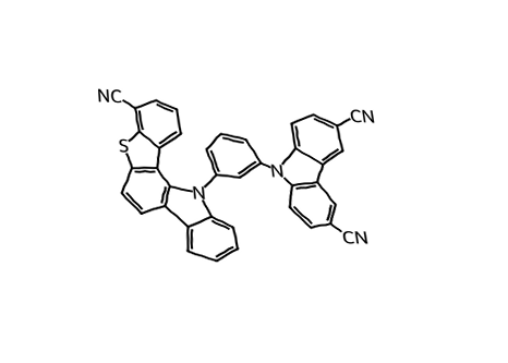 N#Cc1ccc2c(c1)c1cc(C#N)ccc1n2-c1cccc(-n2c3ccccc3c3ccc4sc5c(C#N)cccc5c4c32)c1